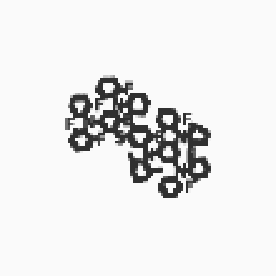 Cc1cccc(C)c1N1c2cc3c(cc2B2c4ccccc4N(c4c(F)cccc4F)c4cc(N(c5ccccc5)c5c(F)cccc5F)cc1c42)B1c2ccccc2N(c2c(F)cccc2F)c2cc(N(c4ccccc4)c4c(F)cccc4F)cc(c21)S3